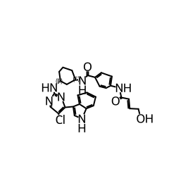 O=C(C=CCO)Nc1ccc(C(=O)N[C@H]2CCC[C@@H](Nc3ncc(Cl)c(-c4c[nH]c5ccccc45)n3)C2)cc1